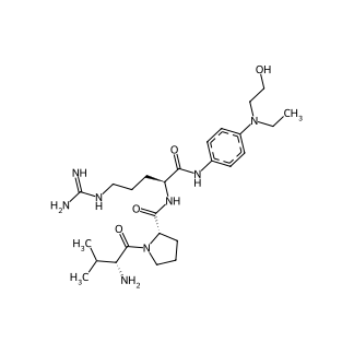 CCN(CCO)c1ccc(NC(=O)[C@H](CCCNC(=N)N)NC(=O)[C@@H]2CCCN2C(=O)[C@H](N)C(C)C)cc1